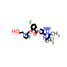 CC1=N/C(=C2\CN(C(=O)c3ccc(F)cc3OCC3C(F)CCN3CCO)CC2=N)NC(C)=C1Cl